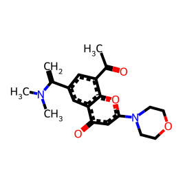 C=C(c1cc(C(C)=O)c2oc(N3CCOCC3)cc(=O)c2c1)N(C)C